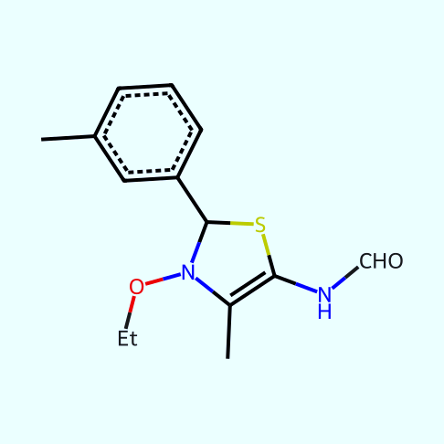 CCON1C(C)=C(NC=O)SC1c1cccc(C)c1